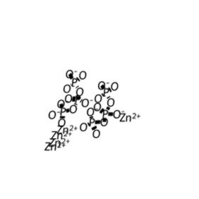 O=P([O-])([O-])OP(=O)([O-])OP(=O)([O-])[O-].O=P([O-])([O-])OP(=O)([O-])OP(=O)([O-])[O-].[Zn+2].[Zn+2].[Zn+2].[Zn+2].[Zn+2]